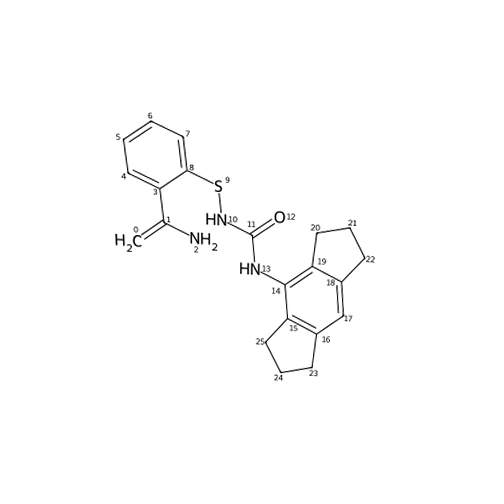 C=C(N)c1ccccc1SNC(=O)Nc1c2c(cc3c1CCC3)CCC2